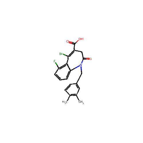 Cc1ccc(CN2C(=O)CC(C(=O)O)=C(Br)c3c(F)cccc32)cc1C